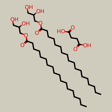 CCCCCCCCCCCCCCCCCC(=O)OCC(O)CO.CCCCCCCCCCCCCCCCCC(=O)OCC(O)CO.O=C(O)CCC(=O)O